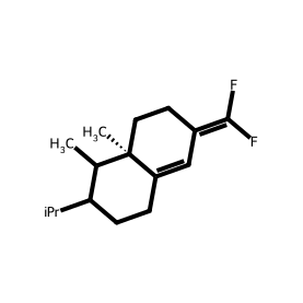 CC(C)C1CCC2=CC(=C(F)F)CC[C@]2(C)C1C